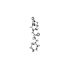 O=C(/C=C1/CN2C(=O)CC2O1)OCc1ccccc1